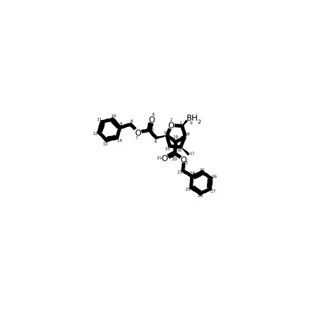 B[C@@H]1O[C@@]2(CC(=O)OCc3ccccc3)C[C@H](C)C1C2C(=O)OCc1ccccc1